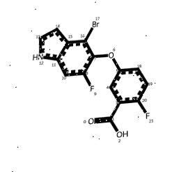 O=C(O)c1cc(Oc2c(F)cc3[nH]ccc3c2Br)ccc1F